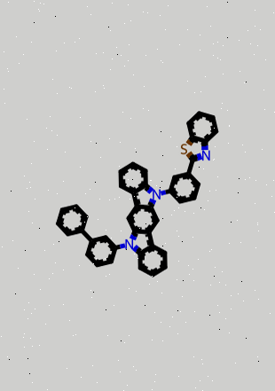 c1ccc(-c2cccc(-n3c4ccccc4c4cc5c(cc43)c3ccccc3n5-c3cccc(-c4nc5ccccc5s4)c3)c2)cc1